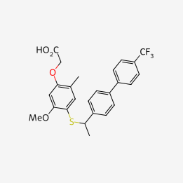 COc1cc(OCC(=O)O)c(C)cc1SC(C)c1ccc(-c2ccc(C(F)(F)F)cc2)cc1